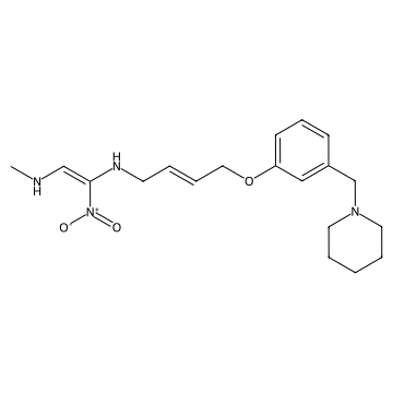 CNC=C(NCC=CCOc1cccc(CN2CCCCC2)c1)[N+](=O)[O-]